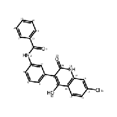 O=C(Nc1cccc(-c2c(O)c3ccc(Cl)cc3[nH]c2=O)c1)c1ccccc1